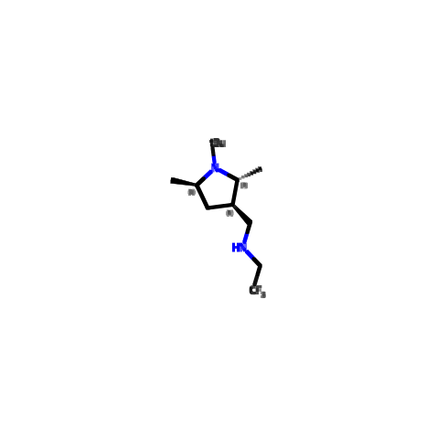 C[C@@H]1C[C@H](CNCC(F)(F)F)[C@@H](C)N1C(C)(C)C